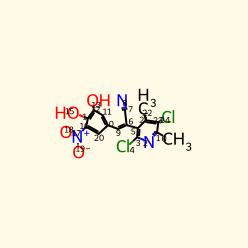 Cc1nc(Cl)c(C(C#N)=Cc2cc(O)c(O)c([N+](=O)[O-])c2)c(C)c1Cl